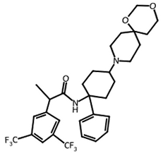 CC(C(=O)NC1(c2ccccc2)CCC(N2CCC3(CCOCO3)CC2)CC1)c1cc(C(F)(F)F)cc(C(F)(F)F)c1